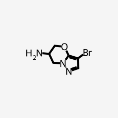 NC1COc2c(Br)cnn2C1